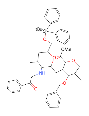 COC(=O)C1OCC(C)C(OCc2ccccc2)C1CC1OC(CO[Si](c2ccccc2)(c2ccccc2)C(C)(C)C)CC(C)C1NCC(=O)c1ccccc1